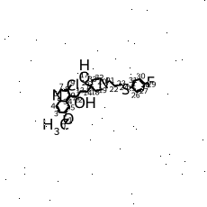 COc1ccc2ncc(Cl)c([C@H](O)CCC3(CO)CCN(CCCSc4ccc(F)cc4)CC3)c2c1